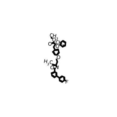 CCOC(=O)C(C)(Cc1ccc(OCCc2nc(-c3cccc(-c4ccc(F)cc4)c3)oc2C)cc1)Oc1ccccc1